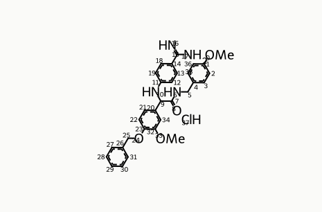 COc1ccc(CNC(=O)C(Nc2ccc(C(=N)N)cc2)c2ccc(OCc3ccccc3)c(OC)c2)cc1.Cl